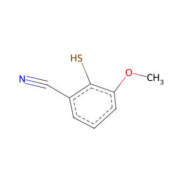 COc1cccc(C#N)c1S